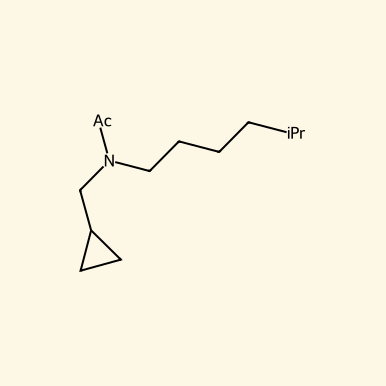 CC(=O)N(CCCCC(C)C)CC1CC1